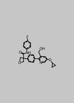 O=C(Nc1ccc(F)cc1)C1(c2ccc(-c3ncc(OC4CC4)cc3CO)cc2)COC1